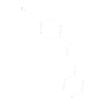 N#Cc1ccc(OCSc2ccccc2)cc1